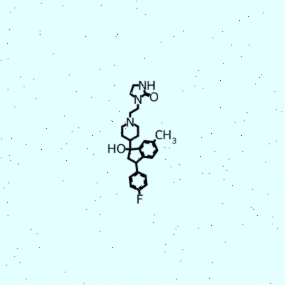 Cc1ccc2c(c1)C(O)(C1CCN(CCN3CCNC3=O)CC1)CC2c1ccc(F)cc1